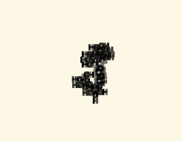 C[C@H](CCC(OC1OC(CO)C(O)C(O)C1OC1OC(CO)C(O)C(O)C1O)C(C)(C)O)[C@H]1CC[C@@]2(C)[C@@H]3CC=C4C(CCC(OC5OC(COC6OC(CO)C(O)C(O)C6O)C(O)C(O)C5O)C4(C)C)[C@]3(C)CC[C@]12C